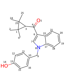 CC1(C)C(C(=O)c2cn(Cc3ccc(O)cc3)c3ccccc23)C1(C)C